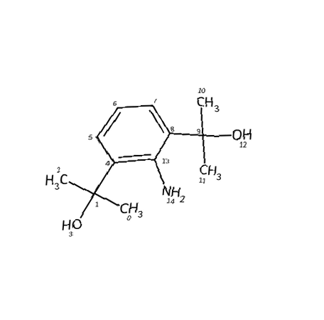 CC(C)(O)c1cccc(C(C)(C)O)c1N